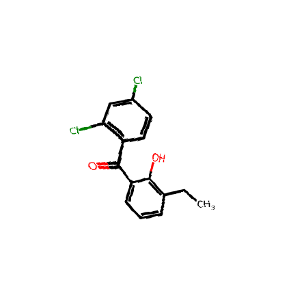 CCc1cccc(C(=O)c2ccc(Cl)cc2Cl)c1O